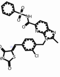 Cc1nc2ccc(C(=O)NS(=O)(=O)c3ccccc3)nc2n1Cc1ccc(/C=C2\SC(=O)NC2=O)cc1Cl